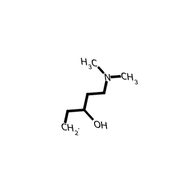 [CH2]CC(O)CCN(C)C